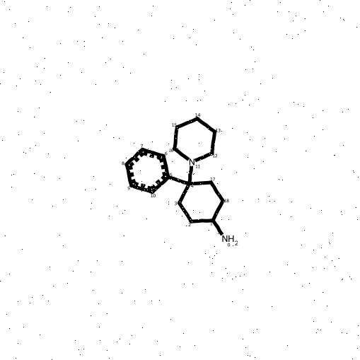 NC1CCC(c2ccccc2)(N2CCCCC2)CC1